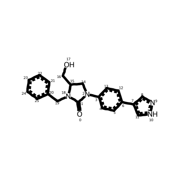 O=C1N(c2ccc(-c3cn[nH]c3)cc2)CC(CO)N1Cc1ccccc1